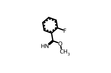 COC(=N)c1ccccc1F